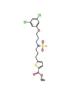 CC(C)(C)OC(=O)c1ccc(CCCN(CCCOc2cc(Cl)cc(Cl)c2)S(C)(=O)=O)s1